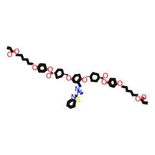 C=CC(=O)OCCCCCCOc1ccc(OC(=O)[C@H]2CC[C@H](COC3=CC(/C=N/N(C)c4nc5ccccc5s4)=C(OC[C@H]4CC[C@H](C(=O)Oc5ccc(OCCCCCCOC(=O)C=C)cc5)CC4)CC3)CC2)cc1